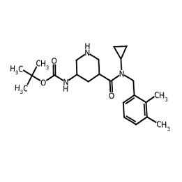 Cc1cccc(CN(C(=O)C2CNCC(NC(=O)OC(C)(C)C)C2)C2CC2)c1C